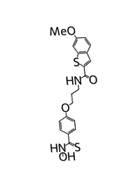 COc1ccc2cc(C(=O)NCCCOc3ccc(C(=S)NO)cc3)sc2c1